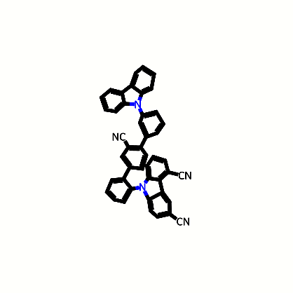 N#Cc1ccc2c(c1)c1c(C#N)cccc1n2-c1ccccc1-c1ccc(-c2cccc(-n3c4ccccc4c4ccccc43)c2)c(C#N)c1